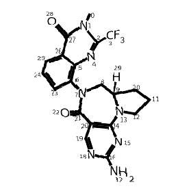 Cn1c(C(F)(F)F)nc2c(N3C[C@@H]4CCCN4c4nc(N)ncc4C3=O)cccc2c1=O